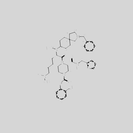 CN(C)CCCC[C@H](C(=O)N1CCN(C(=O)Oc2ccccc2Cl)C[C@H]1C(=O)NCc1cccs1)N(C)C1CCC2(CC1)CCN(Cc1ccccc1)C2